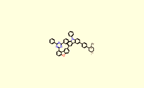 CC(C)[C@H]1CC[C@H](C)CC1c1ccc(-c2ccc3c(c2)c2cc(-c4ccc5oc6cccc(-c7nc(-c8ccccc8)nc(-c8ccccc8)n7)c6c5c4)ccc2n3-c2ccccc2)cc1